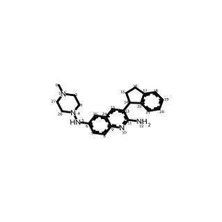 CN1CCN(Nc2ccc3nc(N)c(C4CCc5ccccc54)cc3c2)CC1